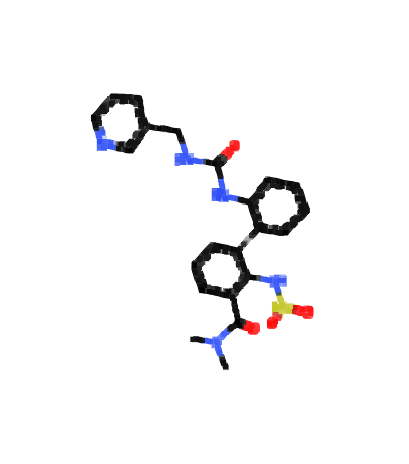 CN(C)C(=O)c1cccc(-c2ccccc2NC(=O)NCc2cccnc2)c1N[SH](=O)=O